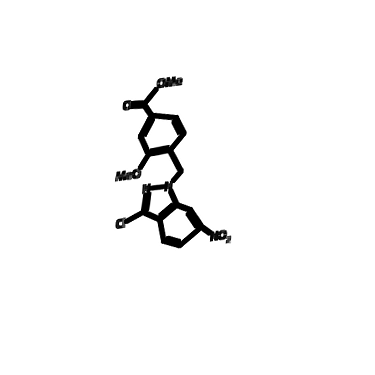 COC(=O)c1ccc(Cn2nc(Cl)c3ccc([N+](=O)[O-])cc32)c(OC)c1